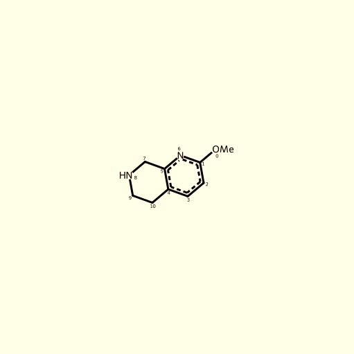 COc1ccc2c(n1)CNCC2